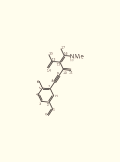 C=Cc1ccc(C)c(C#CC(=C)/C(C(=C)C)=C(/C)NC)c1